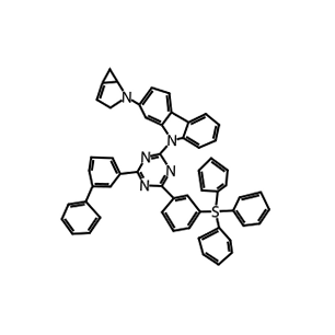 C1=C2CC2N(c2ccc3c4ccccc4n(-c4nc(-c5cccc(-c6ccccc6)c5)nc(-c5cccc(S(c6ccccc6)(c6ccccc6)c6ccccc6)c5)n4)c3c2)C1